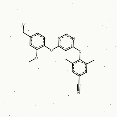 COc1cc(CBr)ccc1Oc1cc(Oc2c(C)cc(C#N)cc2C)ncn1